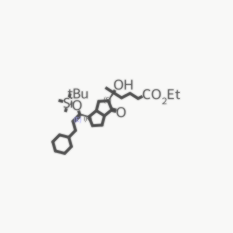 CCOC(=O)CCCC(C)(O)[C@@H]1CC2C(CC[C@H]2/C(=C\CC2CCCCC2)O[Si](C)(C)C(C)(C)C)C1=O